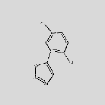 Clc1ccc(Cl)c(-c2cn[c]o2)c1